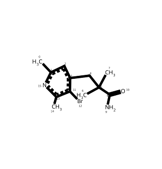 Cc1cc(CC(C)(C)C(N)=O)c(Br)c(C)n1